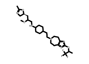 COC(CNC1CCC(CCN2CCc3nc(OC(C)C(F)(F)F)sc3CC2)CC1)C[C@H]1CN=C(C)O1